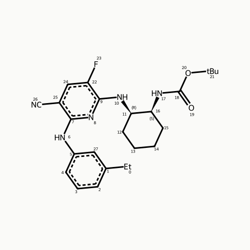 CCc1cccc(Nc2nc(N[C@@H]3CCCC[C@@H]3NC(=O)OC(C)(C)C)c(F)cc2C#N)c1